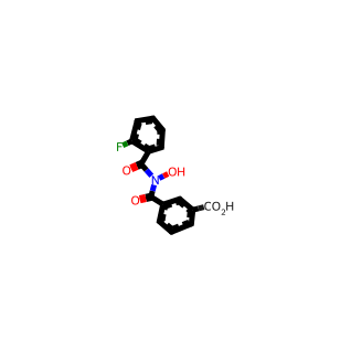 O=C(O)c1cccc(C(=O)N(O)C(=O)c2ccccc2F)c1